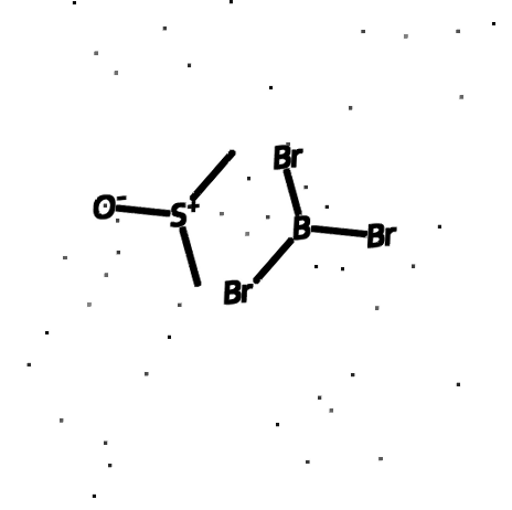 BrB(Br)Br.C[S+](C)[O-]